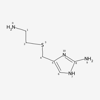 NCCSCc1c[nH]c(N)n1